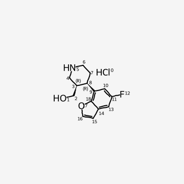 Cl.OC[C@H]1CNCC[C@H]1c1cc(F)cc2ccoc12